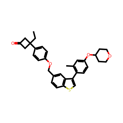 CCC1(c2ccc(OCc3ccc4scc(-c5ccc(OC6CCOCC6)cc5C)c4c3)cc2)CC(=O)C1